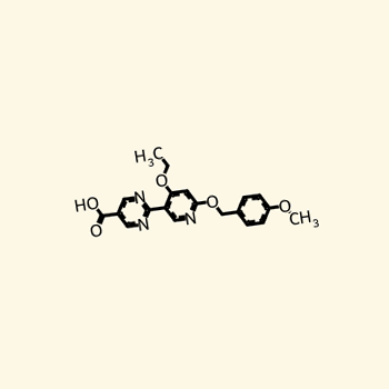 CCOc1cc(OCc2ccc(OC)cc2)ncc1-c1ncc(C(=O)O)cn1